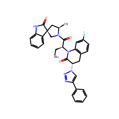 CC(C)(C)C[C@@H](C(=O)N1C[C@]2(C[C@H]1C#N)C(=O)Nc1ccccc12)N1C(=O)[C@@H](n2cc(-c3ccccc3)nn2)Cc2ccc(F)cc21